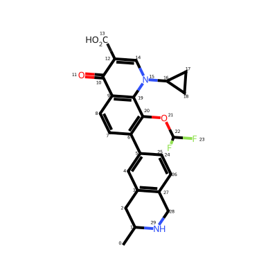 CC1Cc2cc(-c3ccc4c(=O)c(C(=O)O)cn(C5CC5)c4c3OC(F)F)ccc2CN1